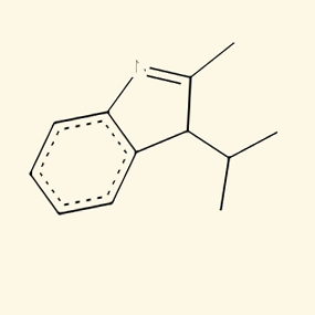 CC1=Nc2ccccc2C1C(C)C